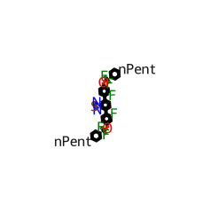 CCCCC[C@H]1CC[C@H](C(F)(F)Oc2ccc(-c3ccc(-c4ccc(OC(F)(F)[C@H]5CC[C@H](CCCCC)CC5)cc4F)c4nsnc34)c(F)c2)CC1